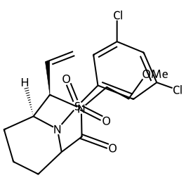 C=C[C@@H]1[C@@H]2CCCC(C(=O)N1CCOC)N2S(=O)(=O)c1cc(Cl)cc(Cl)c1